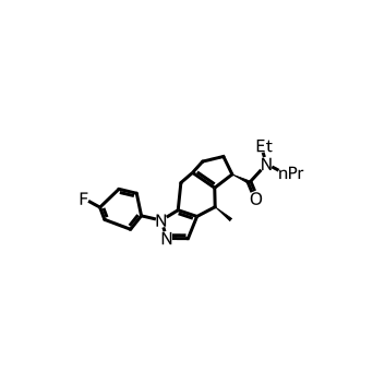 CCCN(CC)C(=O)[C@@H]1CCC2=C1[C@@H](C)c1cnn(-c3ccc(F)cc3)c1C2